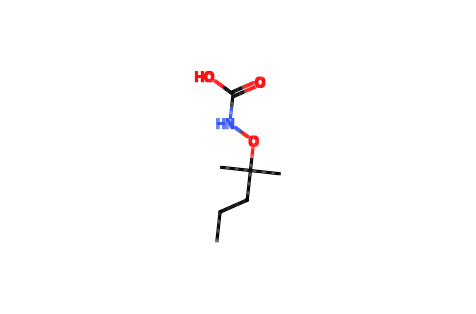 CCCC(C)(C)ONC(=O)O